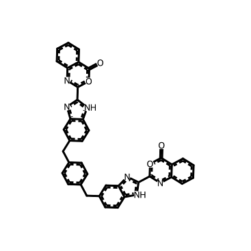 O=c1oc(-c2nc3cc(Cc4ccc(Cc5ccc6[nH]c(-c7nc8ccccc8c(=O)o7)nc6c5)cc4)ccc3[nH]2)nc2ccccc12